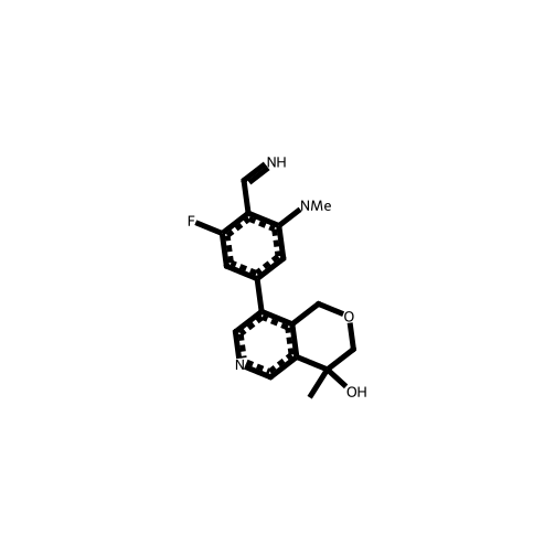 CNc1cc(-c2cncc3c2COCC3(C)O)cc(F)c1C=N